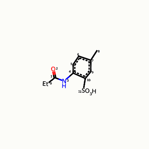 CCC(=O)Nc1ccc(C)cc1S(=O)(=O)O